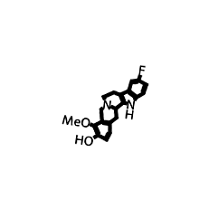 COc1c(O)ccc2c1CN1CCc3c([nH]c4ccc(F)cc34)C1C2